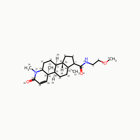 COCCNC(=O)C1CC[C@H]2[C@@H]3CCC4N(C)C(=O)C=C[C@]4(C)[C@@H]3CC[C@]12C